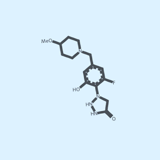 COC1CCN(Cc2cc(O)c(N3CC(=O)NN3)c(F)c2)CC1